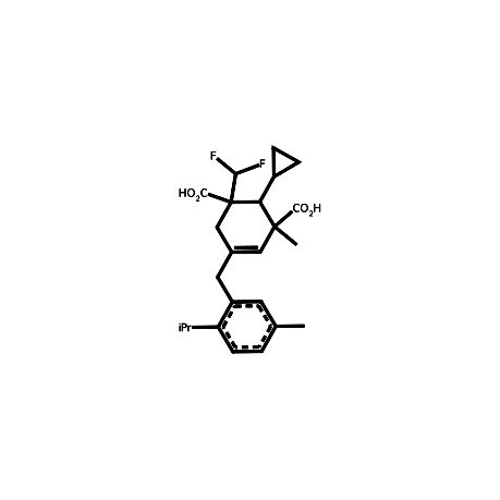 Cc1ccc(C(C)C)c(CC2=CC(C)(C(=O)O)C(C3CC3)C(C(=O)O)(C(F)F)C2)c1